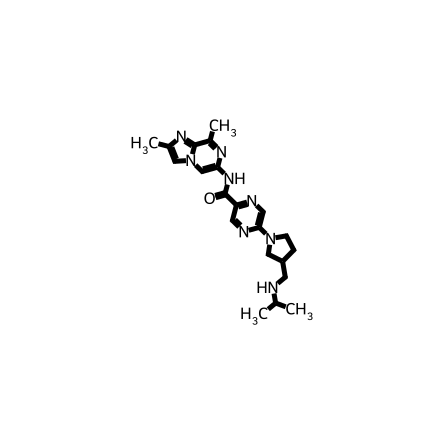 Cc1cn2cc(NC(=O)c3cnc(N4CCC(CNC(C)C)C4)cn3)nc(C)c2n1